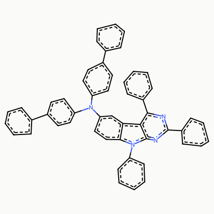 c1ccc(-c2ccc(N(c3ccc(-c4ccccc4)cc3)c3ccc4c(c3)c3c(-c5ccccc5)nc(-c5ccccc5)nc3n4-c3ccccc3)cc2)cc1